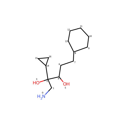 NCC(O)(C(O)CCC1CCCCC1)C1CC1